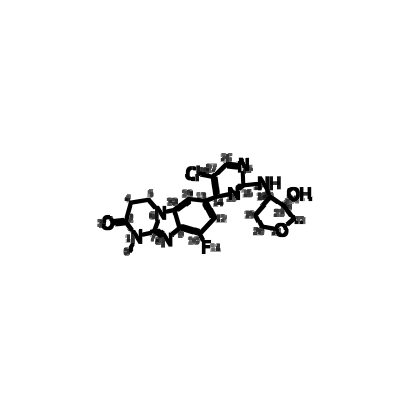 CN1C(=O)CCn2c1nc1c(F)cc(-c3nc(N[C@@H]4CCOC[C@H]4O)ncc3Cl)cc12